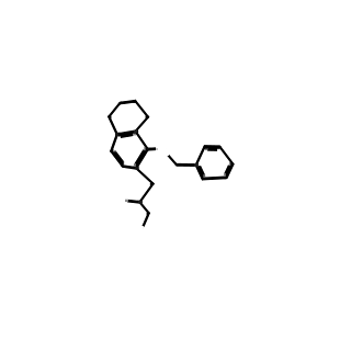 OCC(O)Cc1ccc2c(c1OCc1ccccc1)CCCC2